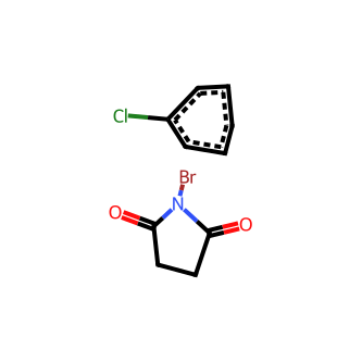 Clc1ccccc1.O=C1CCC(=O)N1Br